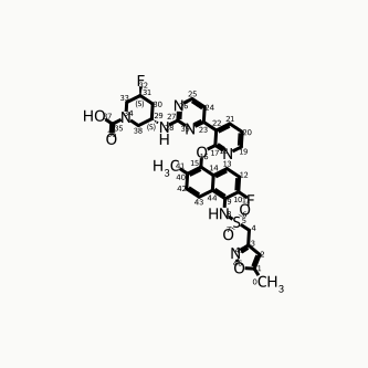 Cc1cc(CS(=O)(=O)Nc2c(F)ccc3c(Oc4ncccc4-c4ccnc(N[C@H]5C[C@H](F)CN(C(=O)O)C5)n4)c(C)ccc23)no1